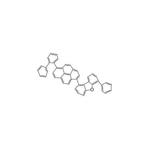 c1ccc(-c2ccccc2-c2ccc3ccc4c(-c5cccc6oc7c(-c8ccccc8)cccc7c56)ccc5ccc2c3c54)cc1